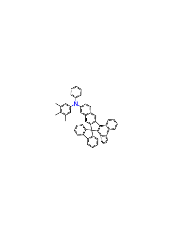 Cc1cc(N(c2ccccc2)c2ccc3cc4c(cc3c2)C2(c3ccccc3-c3ccccc32)c2c-4c3ccccc3c3ccccc23)cc(C)c1C